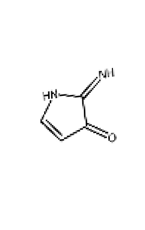 N=C1NC=CC1=O